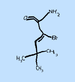 CC(C)(C)C=C(Br)C(N)=O